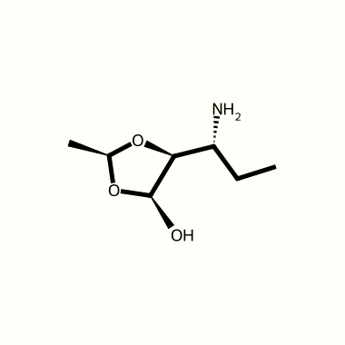 CC[C@@H](N)[C@@H]1O[C@H](C)O[C@@H]1O